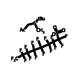 CC(=O)C[S+](C)C(C)(C)C.O=S(=O)([O-])C(F)(F)C(F)(F)C(F)(F)C(F)(F)C(F)(F)C(F)(F)C(F)(F)C(F)(F)F